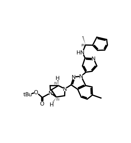 Cc1ccc2c(N3C[C@@H]4C[C@H]3CN4C(=O)OC(C)(C)C)nn(-c3ccnc(N[C@H](C)c4ccccc4)c3)c2c1